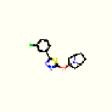 CN1C2CCC1CC(Oc1nnc(-c3cccc(Cl)c3)s1)C2